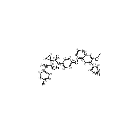 COc1cc2nccc(Oc3ccc(NC(=O)C4(C(=O)Nc5ccc(F)cc5)CC4)cc3)c2cc1-c1cn[nH]c1